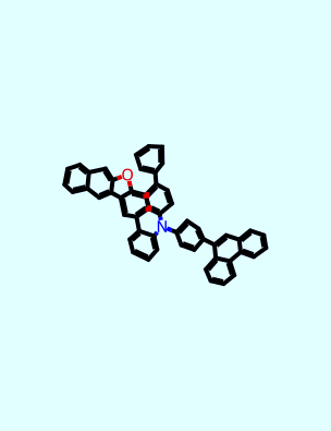 c1ccc(-c2ccc(N(c3ccc(-c4cc5ccccc5c5ccccc45)cc3)c3ccccc3-c3ccc4oc5cc6ccccc6cc5c4c3)cc2)cc1